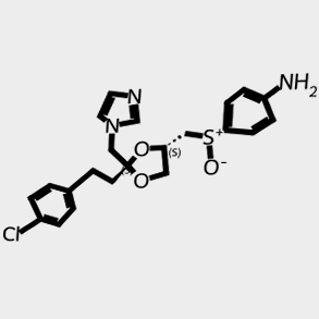 Nc1ccc([S+]([O-])C[C@@H]2CO[C@](CCc3ccc(Cl)cc3)(Cn3ccnc3)O2)cc1